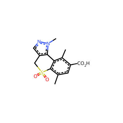 Cc1cc(C(=O)O)c(C)c2c1S(=O)(=O)Cc1cnn(C)c1-2